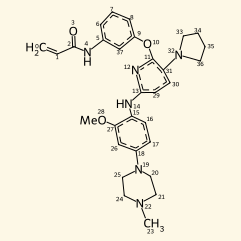 C=CC(=O)Nc1cccc(Oc2nc(Nc3ccc(N4CCN(C)CC4)cc3OC)ccc2N2CCCC2)c1